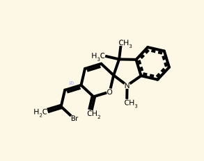 C=C(Br)/C=C1/C=CC2(OC1=C)N(C)c1ccccc1C2(C)C